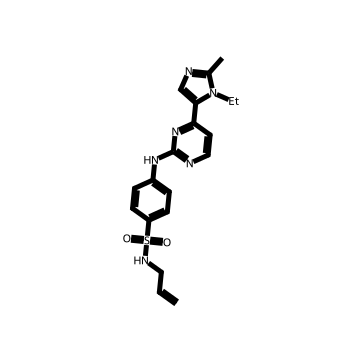 C=CCNS(=O)(=O)c1ccc(Nc2nccc(-c3cnc(C)n3CC)n2)cc1